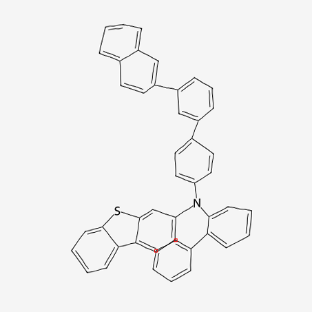 c1ccc(-c2ccccc2N(c2ccc(-c3cccc(-c4ccc5ccccc5c4)c3)cc2)c2ccc3c(c2)sc2ccccc23)cc1